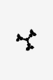 CC1=CCC(N(c2ccc(C)cc2)c2ccc(C#Cc3cc(C#Cc4ccc(N(c5ccc(C)cc5)c5ccc(C)cc5)cc4)cc(C#Cc4ccc(N(c5ccc(C)cc5)c5ccc(C)cc5)cc4)c3)cc2)C=C1